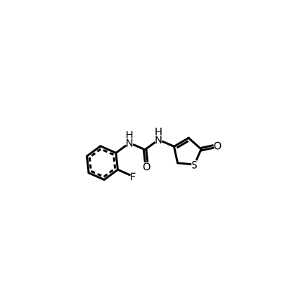 O=C(NC1=CC(=O)SC1)Nc1ccccc1F